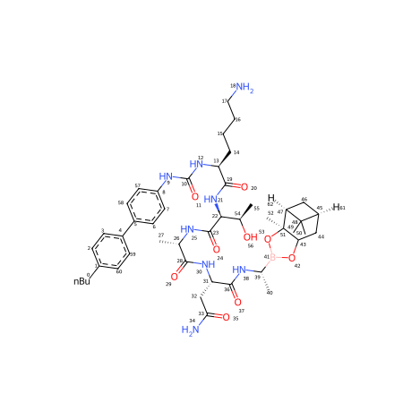 CCCCc1ccc(-c2ccc(NC(=O)N[C@@H](CCCCN)C(=O)N[C@H](C(=O)N[C@@H](C)C(=O)N[C@@H](CC(N)=O)C(=O)N[C@@H](C)B3OC4C[C@@H]5C[C@@H](C5(C)C)[C@]4(C)O3)[C@@H](C)O)cc2)cc1